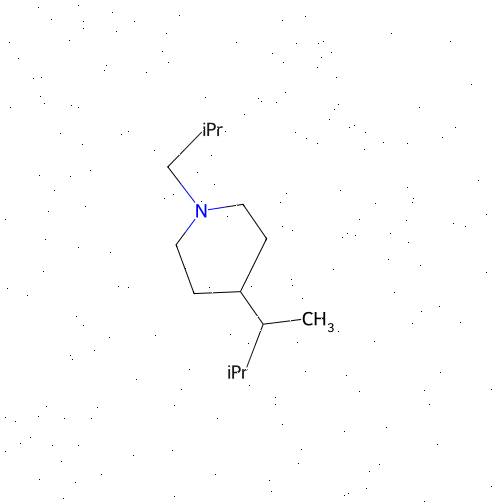 CC(C)CN1CCC(C(C)C(C)C)CC1